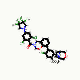 O=C(O)c1cc(F)c(-c2cccc3c2OCN(C(=O)c2c(Cl)cc(N4CC(F)(F)C(F)(F)C4)cc2Cl)C3)cc1N1C2CCC1COC2